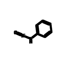 [O]=[Al][NH]c1ccccc1